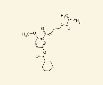 C=C(C)C(=O)OCCOC(=O)c1cc(OC(=O)C2CCCCC2)ccc1OC